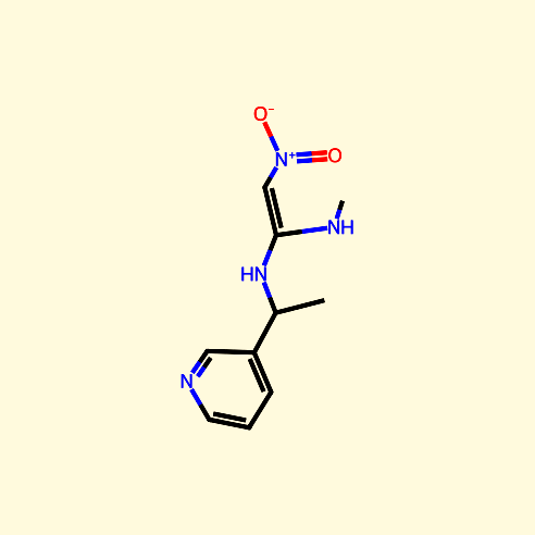 CNC(=C[N+](=O)[O-])NC(C)c1cccnc1